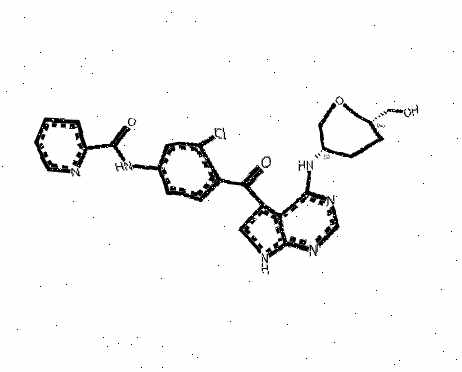 O=C(Nc1ccc(C(=O)c2c[nH]c3ncnc(N[C@H]4CC[C@@H](CO)OC4)c23)c(Cl)c1)c1ccccn1